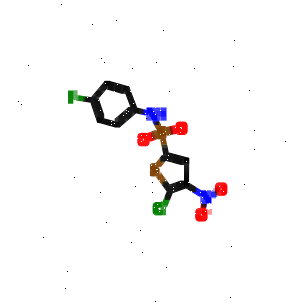 O=[N+]([O-])c1cc(S(=O)(=O)Nc2ccc(F)cc2)sc1Cl